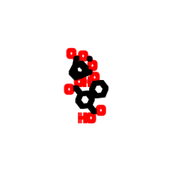 C1CCCCC1.O=C(O)C1CCC(C(=O)O)CC1.O=C1OCOC(=O)C23C=CC1(C=C2)C3